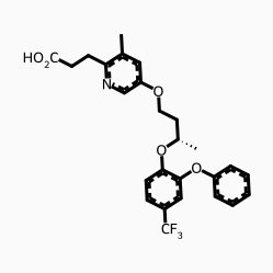 Cc1cc(OCC[C@H](C)Oc2ccc(C(F)(F)F)cc2Oc2ccccc2)cnc1CCC(=O)O